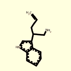 C=CCC(CN)c1c[nH]c2ccccc12